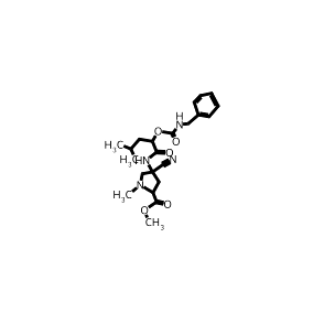 COC(=O)C1CC(C#N)(NC(=O)C(CC(C)C)OC(=O)NCc2ccccc2)CN1C